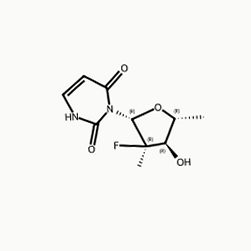 [CH2][C@H]1O[C@@H](n2c(=O)cc[nH]c2=O)[C@](C)(F)[C@@H]1O